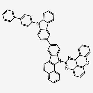 c1ccc(-c2ccc(-n3c4ccccc4c4cc(-c5ccc6c(c5)c5ccc7ccccc7c5n6-c5nc6c7c(cccc7n5)Oc5ccccc5-6)ccc43)cc2)cc1